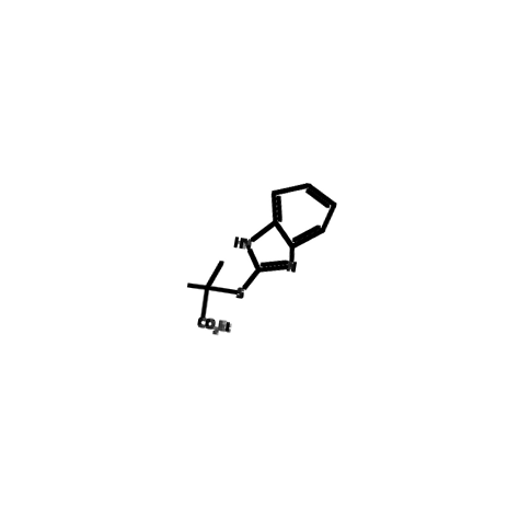 CCOC(=O)C(C)(C)Sc1nc2ccccc2[nH]1